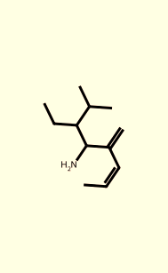 C=C(/C=C\C)C(N)C(CC)C(C)C